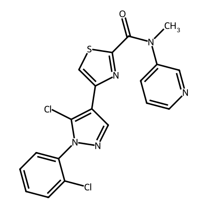 CN(C(=O)c1nc(-c2cnn(-c3ccccc3Cl)c2Cl)cs1)c1cccnc1